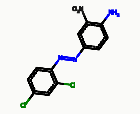 Nc1ccc(N=Nc2ccc(Cl)cc2Cl)cc1[N+](=O)[O-]